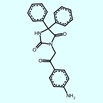 Nc1ccc(C(=O)CN2C(=O)NC(c3ccccc3)(c3ccccc3)C2=O)cc1